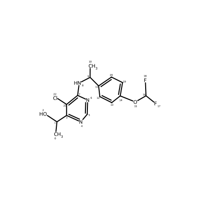 CC(O)c1ncnc(NC(C)c2ccc(OC(F)F)cc2)c1Cl